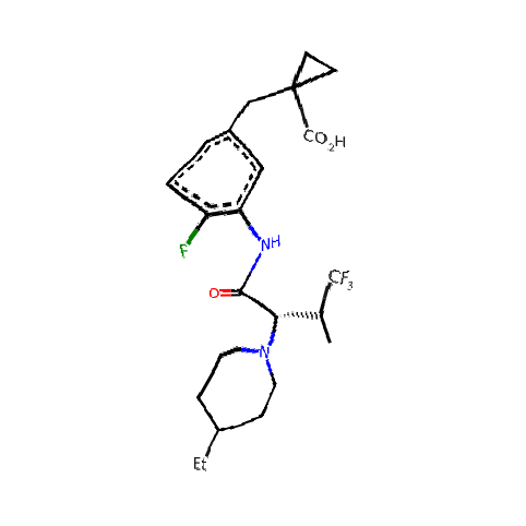 CCC1CCN([C@H](C(=O)Nc2cc(CC3(C(=O)O)CC3)ccc2F)C(C)C(F)(F)F)CC1